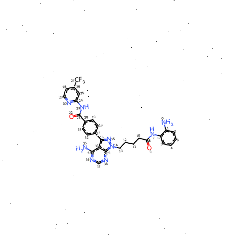 Nc1ccccc1NC(=O)CCCCn1nc(-c2ccc(C(=O)Nc3cc(C(F)(F)F)ccn3)cc2)c2c(N)ncnc21